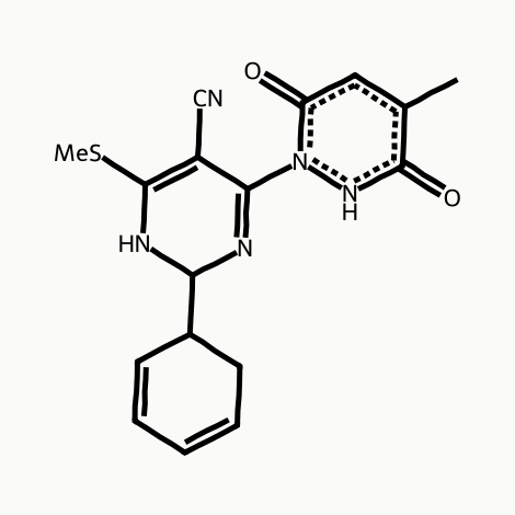 CSC1=C(C#N)C(n2[nH]c(=O)c(C)cc2=O)=NC(C2C=CC=CC2)N1